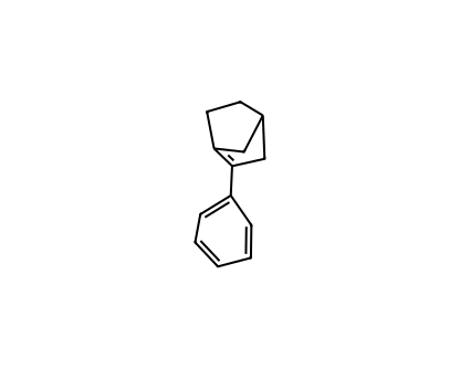 c1ccc(C2=C3CCC(C3)C2)cc1